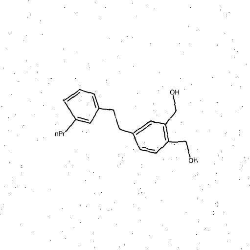 CCCc1cccc(CCc2ccc(CO)c(CO)c2)c1